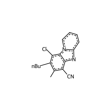 CCCCc1c(C)c(C#N)c2nc3ccccn3c2c1Cl